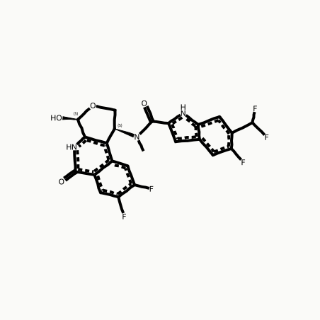 CN(C(=O)c1cc2cc(F)c(C(F)F)cc2[nH]1)[C@@H]1CO[C@H](O)c2[nH]c(=O)c3cc(F)c(F)cc3c21